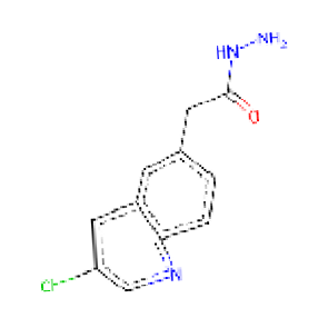 NNC(=O)Cc1ccc2ncc(Cl)cc2c1